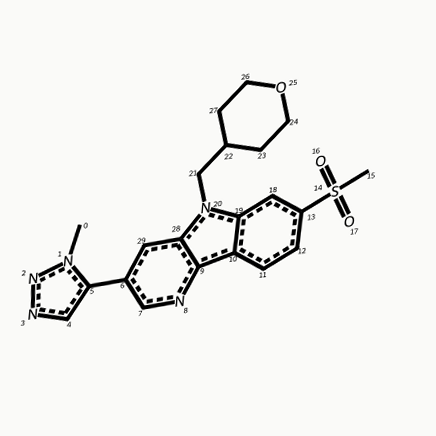 Cn1nncc1-c1cnc2c3ccc(S(C)(=O)=O)cc3n(CC3CCOCC3)c2c1